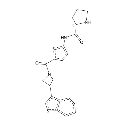 O=C(Nc1ccc(C(=O)N2CC(c3csc4ccccc34)C2)s1)[C@@H]1CCCN1